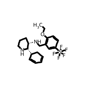 CCOc1ccc(S(F)(F)(F)(F)F)cc1CN[C@H]1CCCN[C@H]1C1C=CC=CC1